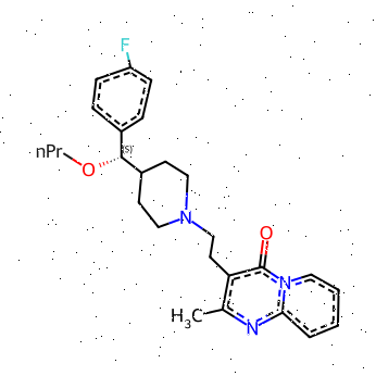 CCCO[C@H](c1ccc(F)cc1)C1CCN(CCc2c(C)nc3ccccn3c2=O)CC1